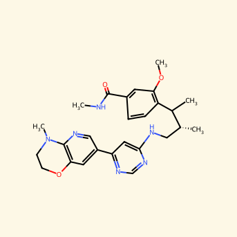 CNC(=O)c1ccc(C(C)[C@H](C)CNc2cc(-c3cnc4c(c3)OCCN4C)ncn2)c(OC)c1